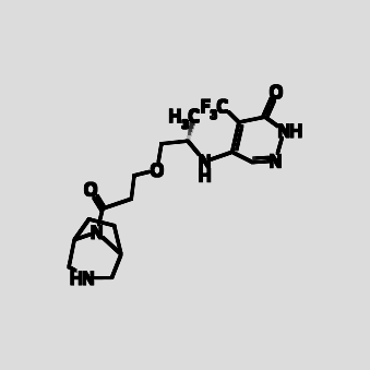 C[C@@H](COCCC(=O)N1C2CCC1CNC2)Nc1cn[nH]c(=O)c1C(F)(F)F